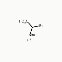 CCCCC(CC)C(=O)O.[Hf]